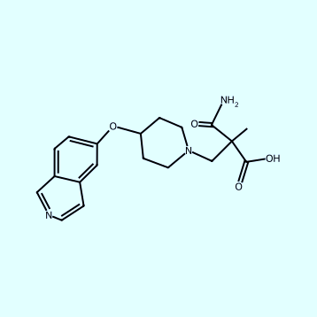 CC(CN1CCC(Oc2ccc3cnccc3c2)CC1)(C(N)=O)C(=O)O